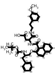 COc1cccc(CCNC(=O)C(CC(=O)O)NC(=O)c2c(OCC(Cc3ccccc3)NC(=O)OC(C)(C)C)ccc3ccccc23)c1